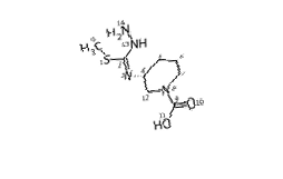 CS/C(=N/[C@@H]1CCCN(C(=O)O)C1)NN